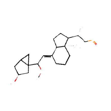 COC(/C=C1\CCC[C@@]2(C)C1CCC2[C@H](C)CP=O)C12CC1C[C@H](O)C2